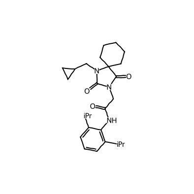 CC(C)c1cccc(C(C)C)c1NC(=O)CN1C(=O)N(CC2CC2)C2(CCCCC2)C1=O